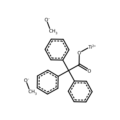 C[O-].C[O-].O=C([O][Ti+2])C(c1ccccc1)(c1ccccc1)c1ccccc1